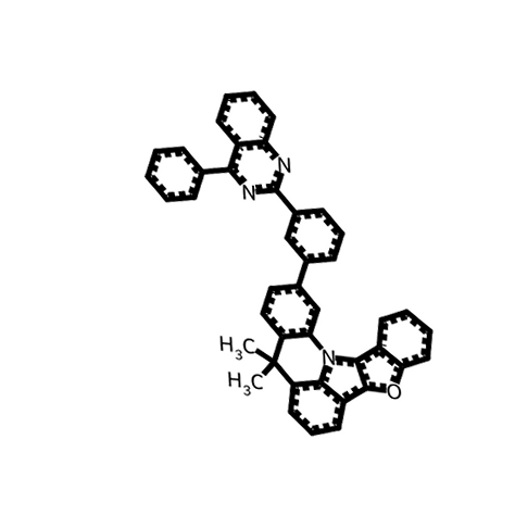 CC1(C)c2ccc(-c3cccc(-c4nc(-c5ccccc5)c5ccccc5n4)c3)cc2-n2c3c1cccc3c1oc3ccccc3c12